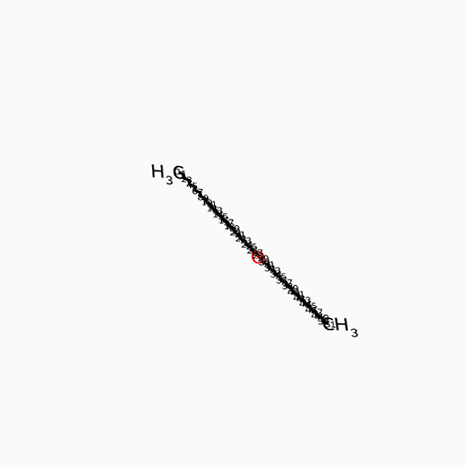 CCCCCCCCCCCCCCCCCCCCCCCCCCCCOCCCCCCCCCCCCCCCCCCCCCCC